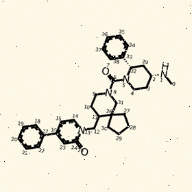 CN[C@@H]1CCN(C(=O)N2CCC(Cn3ccc(-c4ccccc4)cc3=O)C3(CCCC3)C2)[C@H](c2ccccc2)C1